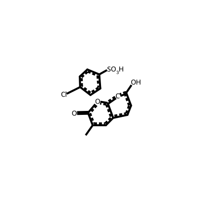 Cc1cc2ccc(O)cc2oc1=O.O=S(=O)(O)c1ccc(Cl)cc1